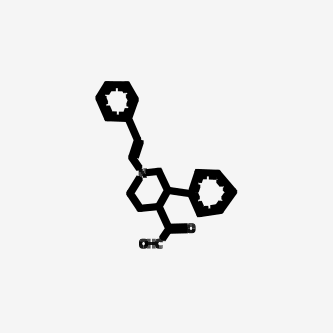 O=CC(=O)C1CCN(C=Cc2ccccc2)CC1c1ccccc1